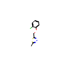 Cc1nnc(COc2ccccc2Cl)s1